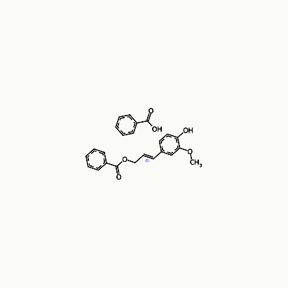 COc1cc(/C=C/COC(=O)c2ccccc2)ccc1O.O=C(O)c1ccccc1